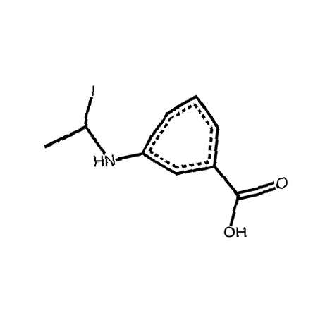 CC(I)Nc1cccc(C(=O)O)c1